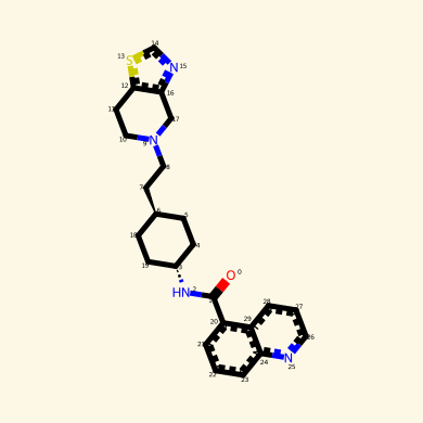 O=C(N[C@H]1CC[C@H](CCN2CCc3scnc3C2)CC1)c1cccc2ncccc12